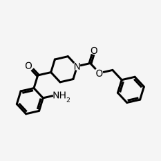 Nc1ccccc1C(=O)C1CCN(C(=O)OCc2ccccc2)CC1